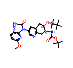 COc1ccc2c(n1)N(c1cnc3c(c1)C[C@H](O[Si](C)(C)C(C)(C)C)[C@@H](NC(=O)OC(C)(C)C)C3)C(=O)CN2